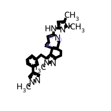 Cc1cc(NC2=C/C=C/C3=C(/C=N\2)CCc2nn(C)c(Cc4cccc(-c5cnn(C)c5)c4)c23)nn1C